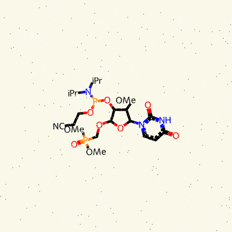 COC1C(OP(OCCC#N)N(C(C)C)C(C)C)C(OCP(=O)(OC)OC)OC1n1ccc(=O)[nH]c1=O